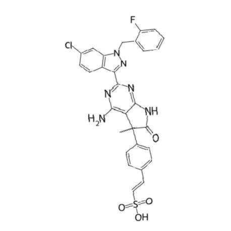 CC1(c2ccc(C=CS(=O)(=O)O)cc2)C(=O)Nc2nc(-c3nn(Cc4ccccc4F)c4cc(Cl)ccc34)nc(N)c21